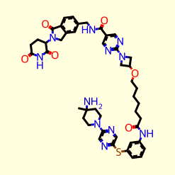 CC1(N)CCN(c2cnc(Sc3cccc(NC(=O)CCCCCCOC4CN(c5ncc(C(=O)NCc6ccc7c(c6)CN(C6CCC(=O)NC6=O)C7=O)cn5)C4)c3)cn2)CC1